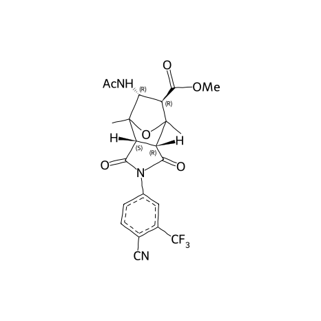 COC(=O)[C@@H]1[C@@H](NC(C)=O)C2(C)OC1(C)[C@@H]1C(=O)N(c3ccc(C#N)c(C(F)(F)F)c3)C(=O)[C@@H]12